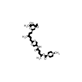 CC(C=C[C@@H]1C[C@]2(CO2)CC(C)(C)O1)=CCC1OCC(NC(=O)C=CC(C)OC(=O)N2CCN(C)CC2)CO1